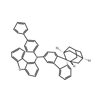 c1ccc(-c2ccc(N(c3ccc4c(c3)-c3ccccc3[C@]43[C@@H]4CC5C[C@@H](C4)C[C@@H]3C5)c3cccc4oc5ccccc5c34)cc2)cc1